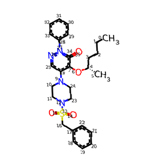 CCCC[C@H](C)Oc1c(N2CCN(S(=O)(=O)Cc3ccccc3)CC2)cnn(-c2ccccc2)c1=O